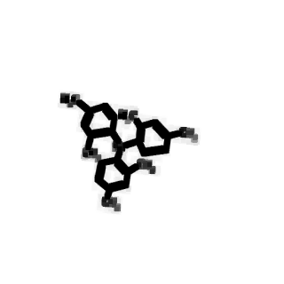 Cc1cc[c]([Sb]([c]2ccc(C)cc2C)[c]2ccc(C)cc2C)c(C)c1